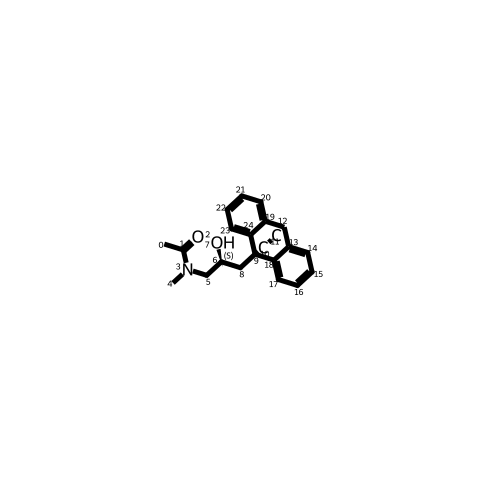 CC(=O)N(C)C[C@@H](O)CC12CCC(c3ccccc31)c1ccccc12